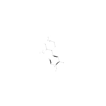 CC(C)(C)N1CCC(c2ccc(F)c(F)c2)C(N)C1